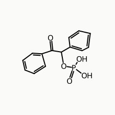 O=C(c1ccccc1)C(OP(=O)(O)O)c1ccccc1